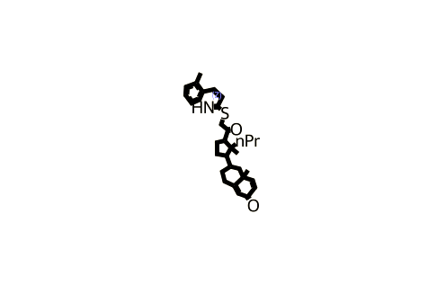 CCCC1(C)C(C(=O)CSC(=N)/C=C\c2ccccc2C)CCC1C1CCC2=CC(=O)C=CC2(C)C1